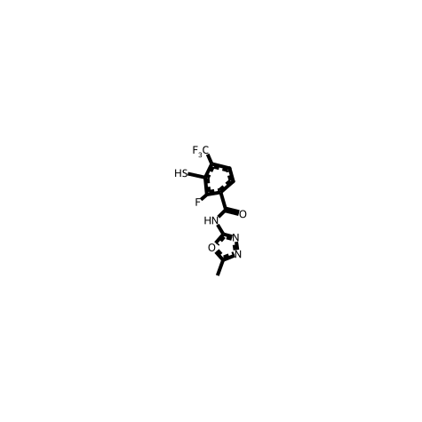 Cc1nnc(NC(=O)c2ccc(C(F)(F)F)c(S)c2F)o1